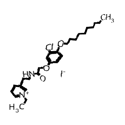 CCCCCCCCCCOc1ccc(OCC(=O)NCCc2ccc[n+](CC)c2)cc1Cl.[I-]